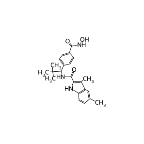 Cc1ccc2[nH]c(C(=O)NC(c3ccc(C(=O)NO)cc3)C(C)(C)C)c(C)c2c1